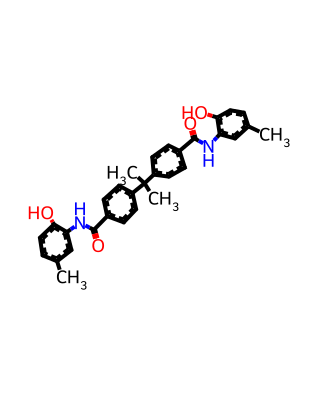 Cc1ccc(O)c(NC(=O)c2ccc(C(C)(C)c3ccc(C(=O)Nc4cc(C)ccc4O)cc3)cc2)c1